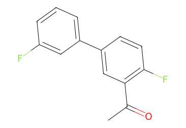 CC(=O)c1cc(-c2cccc(F)c2)ccc1F